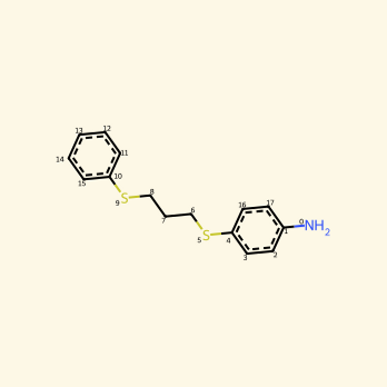 Nc1ccc(SCCCSc2ccccc2)cc1